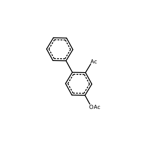 CC(=O)Oc1ccc(-c2ccccc2)c(C(C)=O)c1